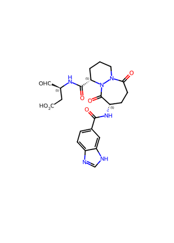 O=C[C@H](CC(=O)O)NC(=O)[C@@H]1CCCN2C(=O)CC[C@H](NC(=O)c3ccc4nc[nH]c4c3)C(=O)N12